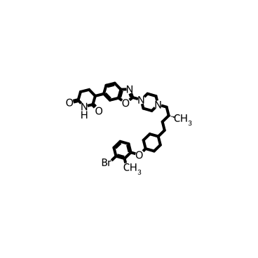 Cc1c(Br)cccc1OC1CCC(CC[C@@H](C)CN2CCN(c3nc4ccc(C5CCC(=O)NC5=O)cc4o3)CC2)CC1